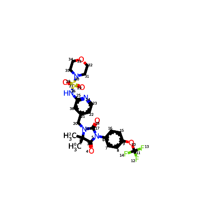 CC1(C)C(=O)N(c2ccc(OC(F)(F)F)cc2)C(=O)N1Cc1ccnc(NS(=O)(=O)N2CCOCC2)c1